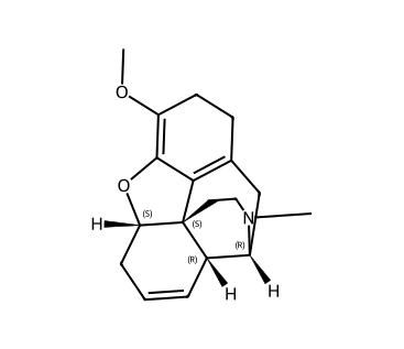 COC1=C2O[C@H]3CC=C[C@H]4[C@H]5CC(=C2[C@@]34CCN5C)CC1